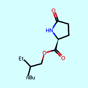 CCCCC(CC)COC(=O)[C@@H]1CCC(=O)N1